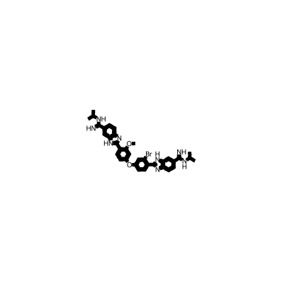 COc1cc(Oc2ccc(-c3nc4ccc(C(=N)NC(C)C)cc4[nH]3)c(Br)c2)ccc1-c1nc2ccc(C(=N)NC(C)C)cc2[nH]1